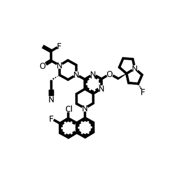 C=C(F)C(=O)N1CCN(c2nc(OC[C@@]34CCCN3C[C@H](F)C4)nc3c2CCN(c2cccc4ccc(F)c(Cl)c24)C3)C[C@@H]1CC#N